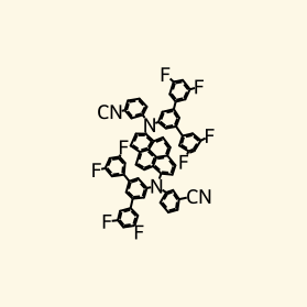 [C-]#[N+]c1cccc(N(c2cc(-c3cc(F)cc(F)c3)cc(-c3cc(F)cc(F)c3)c2)c2ccc3ccc4c(N(c5cccc(C#N)c5)c5cc(-c6cc(F)cc(F)c6)cc(-c6cc(F)cc(F)c6)c5)ccc5ccc2c3c54)c1